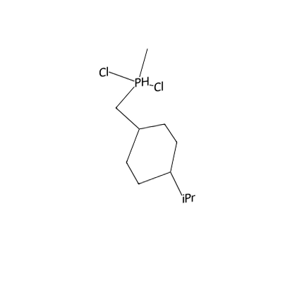 CC(C)C1CCC(C[PH](C)(Cl)Cl)CC1